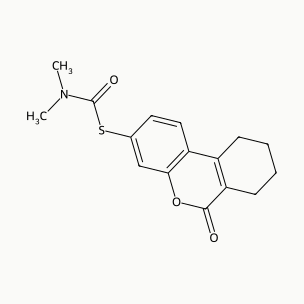 CN(C)C(=O)Sc1ccc2c3c(c(=O)oc2c1)CCCC3